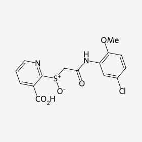 COc1ccc(Cl)cc1NC(=O)C[S+]([O-])c1ncccc1C(=O)O